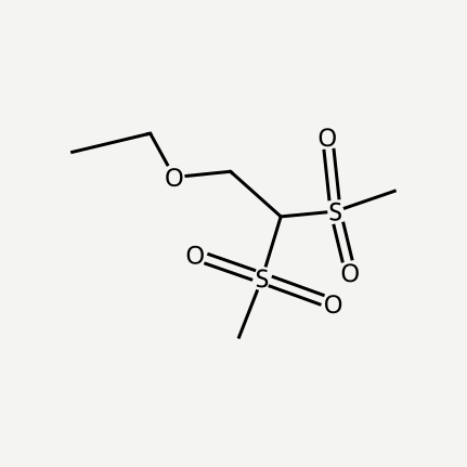 CCOCC(S(C)(=O)=O)S(C)(=O)=O